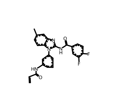 C=CC(=O)Nc1cccc(-n2c(NC(=O)c3ccc(F)c(F)c3)nc3cc(C)ccc32)c1